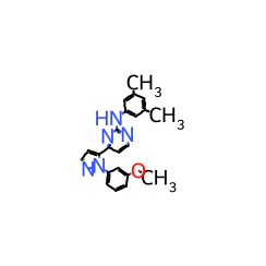 COc1cccc(-n2nccc2-c2ccnc(Nc3cc(C)cc(C)c3)n2)c1